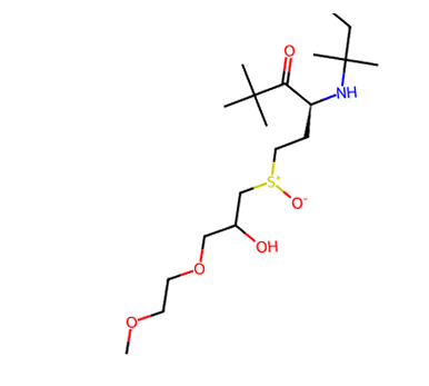 CCC(C)(C)N[C@@H](CC[S+]([O-])CC(O)COCCOC)C(=O)C(C)(C)C